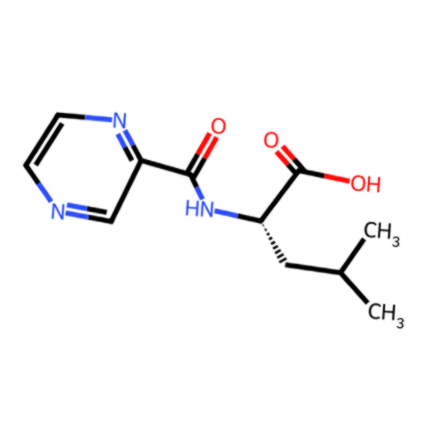 CC(C)C[C@H](NC(=O)c1cnccn1)C(=O)O